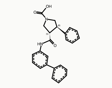 O=C(Nc1cccc(-c2ccccc2)c1)[C@@H]1CN(C(=O)O)C[C@H]1c1ccccc1